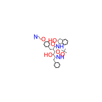 CN(C)CCOc1ccc(C[C@H](C[C@H](O)[C@H](Cc2ccccc2)NC(=O)OC(C)(C)C)C(=O)N[C@H]2c3ccccc3C[C@H]2O)cc1